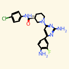 Nc1nc(-c2ccc(N)c(F)c2)cc(N2CCC[C@H](C(=O)Nc3ccc(Cl)cc3)C2)n1